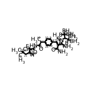 BC(B)(B)C(n1nc(-c2ccc(C(C)C(=O)Nc3onc(CC(C)(C)C)c3F)cc2)c(C(N)=O)c1N)C(B)(B)B